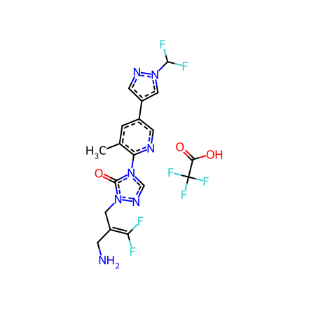 Cc1cc(-c2cnn(C(F)F)c2)cnc1-n1cnn(CC(CN)=C(F)F)c1=O.O=C(O)C(F)(F)F